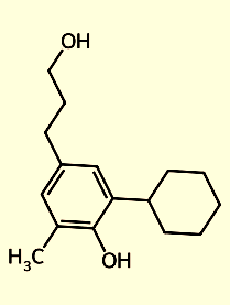 Cc1cc(CCCO)cc(C2CCCCC2)c1O